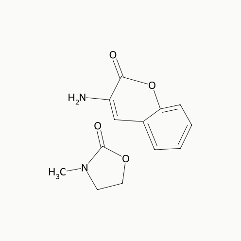 CN1CCOC1=O.Nc1cc2ccccc2oc1=O